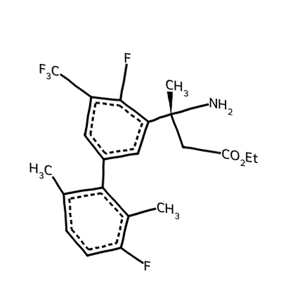 CCOC(=O)C[C@@](C)(N)c1cc(-c2c(C)ccc(F)c2C)cc(C(F)(F)F)c1F